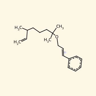 C=CC(C)CCCC(C)(C)OC/C=C/c1ccccc1